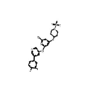 CS(=O)(=O)N1CCC(Oc2cc(Cl)nc(Oc3cncc(-c4ccc(F)c(F)c4)c3)c2)CC1